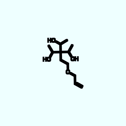 C=CCOCCC(C(C)O)(C(C)O)C(C)O